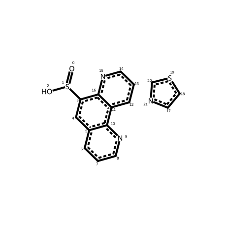 O=S(O)c1cc2cccnc2c2cccnc12.c1cscn1